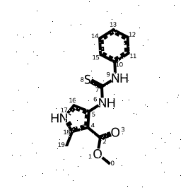 COC(=O)c1c(NC(=S)Nc2ccccc2)c[nH]c1C